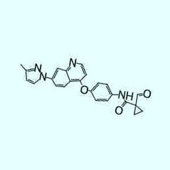 Cc1ccn(-c2ccc3c(Oc4ccc(NC(=O)C5(C=O)CC5)cc4)ccnc3c2)n1